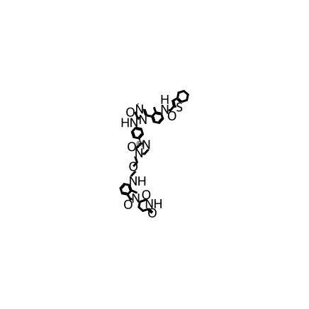 Cc1c(NC(=O)c2cc3c(s2)CCCC3)cccc1-c1cn(C)c(=O)c(Nc2ccc([C@@H]3C(=O)N(CCOCCNc4cccc5c4CN(C4CCC(=O)NC4=O)C5=O)CCN3C)cc2)n1